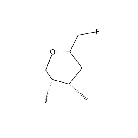 C[C@@H]1COC(CF)C[C@@H]1C